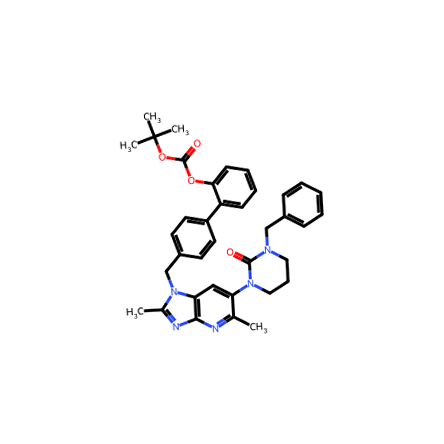 Cc1nc2nc(C)n(Cc3ccc(-c4ccccc4OC(=O)OC(C)(C)C)cc3)c2cc1N1CCCN(Cc2ccccc2)C1=O